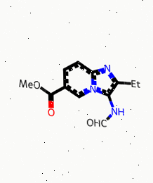 CCc1nc2ccc(C(=O)OC)cn2c1NC=O